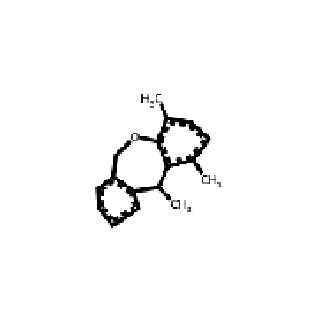 Cc1ccc(C)c2c1OCc1ccccc1C2C